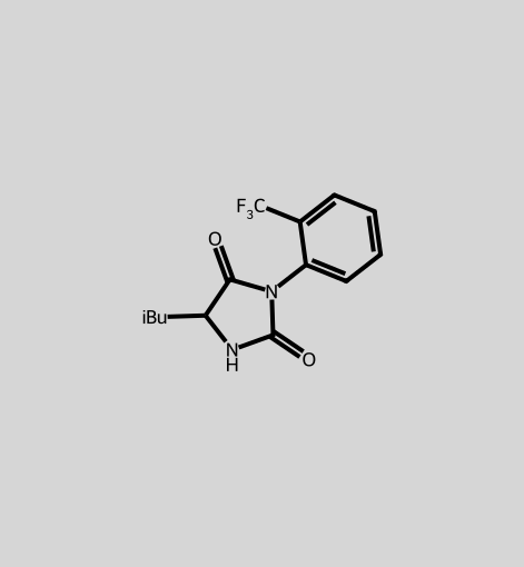 CCC(C)C1NC(=O)N(c2ccccc2C(F)(F)F)C1=O